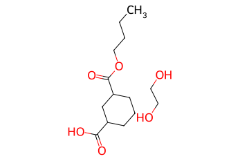 CCCCOC(=O)C1CCCC(C(=O)O)C1.OCCO